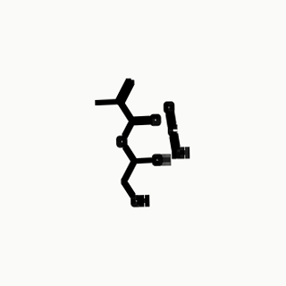 C=C(C)C(=O)OC(O)CO.N=C=O